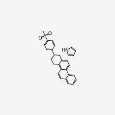 CS(=O)(=O)c1ccc(C2CCc3c(ccc4c3ccc3ccccc34)C2)cc1.c1cc[nH]c1